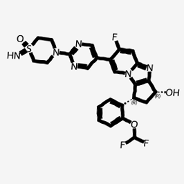 N=S1(=O)CCN(c2ncc(-c3cn4c5c(nc4cc3F)[C@H](O)C[C@@H]5c3ccccc3OC(F)F)cn2)CC1